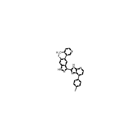 Cc1ccncc1-c1cc2c(-c3nc4c(-c5ccc(F)cc5)ccnc4[nH]3)n[nH]c2cc1F